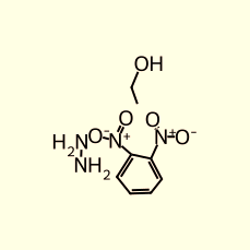 CCO.NN.O=[N+]([O-])c1ccccc1[N+](=O)[O-]